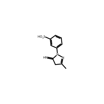 CC1=NN(c2cccc(S(=O)(=O)O)c2)C(=N)C1